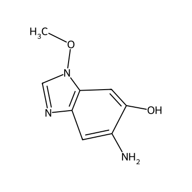 COn1cnc2cc(N)c(O)cc21